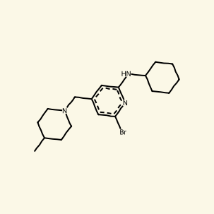 CC1CCN(Cc2cc(Br)nc(NC3CCCCC3)c2)CC1